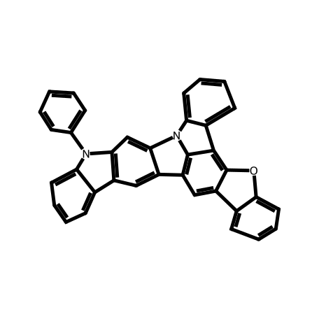 c1ccc(-n2c3ccccc3c3cc4c5cc6c7ccccc7oc6c6c7ccccc7n(c4cc32)c56)cc1